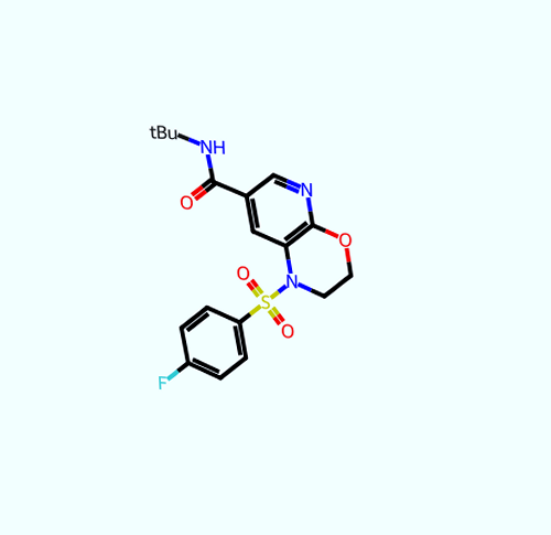 CC(C)(C)NC(=O)c1cnc2c(c1)N(S(=O)(=O)c1ccc(F)cc1)CCO2